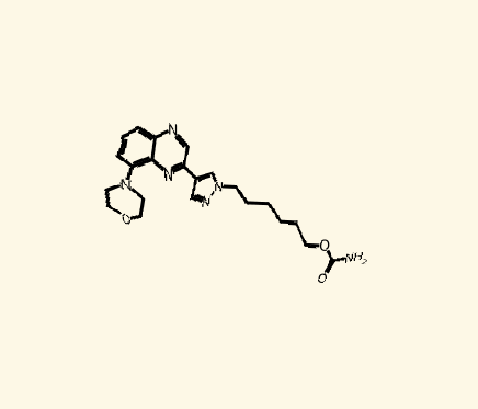 NC(=O)OCCCCCCn1cc(-c2cnc3cccc(N4CCOCC4)c3n2)cn1